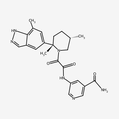 Cc1cc([C@]2(C)CC[C@H](C)CN2C(=O)C(=O)Nc2cncc(C(N)=O)c2)cc2cn[nH]c12